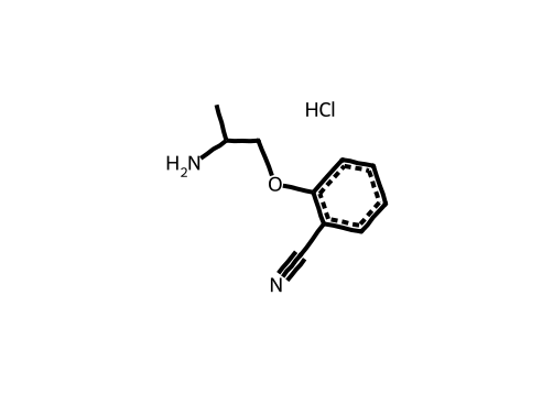 CC(N)COc1ccccc1C#N.Cl